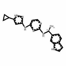 C[C@H](Nc1nccc(Nc2cc(C3CC3)[nH]n2)n1)c1ccc2cc[nH]c2c1